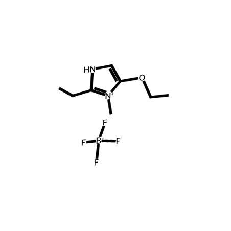 CCOc1c[nH]c(CC)[n+]1C.F[B-](F)(F)F